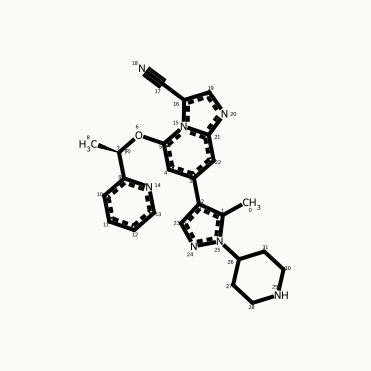 Cc1c(-c2cc(O[C@H](C)c3ccccn3)n3c(C#N)cnc3c2)cnn1C1CCNCC1